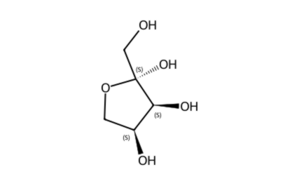 OC[C@]1(O)OC[C@H](O)[C@@H]1O